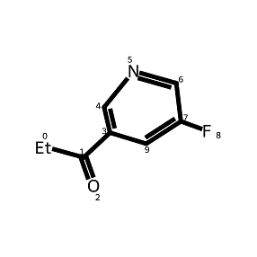 CCC(=O)c1cncc(F)c1